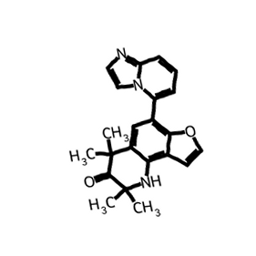 CC1(C)Nc2c(cc(-c3cccc4nccn34)c3occc23)C(C)(C)C1=O